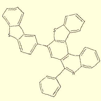 c1ccc(-c2nc3ccccc3c3c2cc(-c2ccc4sc5ccccc5c4c2)c2sc4ccccc4c23)cc1